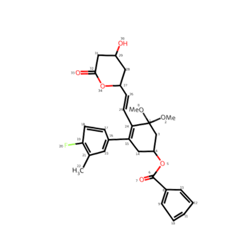 COC1(OC)CC(OC(=O)c2ccccc2)CC(c2ccc(F)c(C)c2)=C1C=CC1CC(O)CC(=O)O1